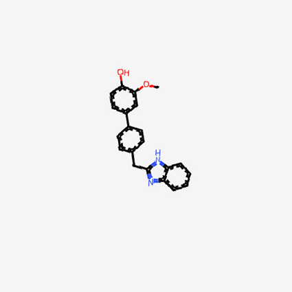 COc1cc(-c2ccc(Cc3nc4ccccc4[nH]3)cc2)ccc1O